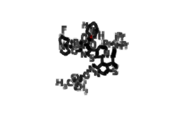 CC(C)[Si](C#Cc1csc2cc3nn(COCC[Si](C)(C)C)cc3c(-c3nccc4c3sc3nc(OC[C@@]56CCCN5C[C@H](F)C6)nc(N5C[C@H]6CC[C@@H](C5)N6C(=O)OC(C)(C)C)c34)c12)(C(C)C)C(C)C